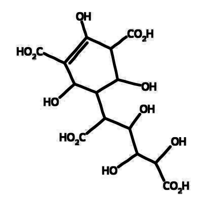 O=C(O)C1=C(O)C(C(=O)O)C(O)C(C(C(=O)O)C(O)C(O)C(O)C(=O)O)C1O